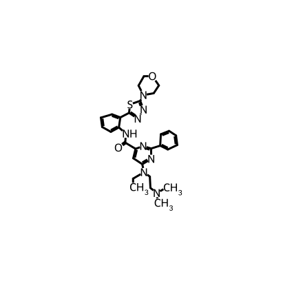 CCN(CCN(C)C)c1cc(C(=O)Nc2ccccc2-c2nnc(N3CCOCC3)s2)nc(-c2ccccc2)n1